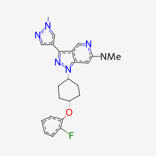 CNc1cc2c(cn1)c(-c1cnn(C)c1)nn2[C@H]1CC[C@@H](Oc2ccccc2F)CC1